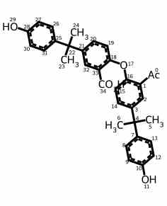 CC(=O)c1cc(C(C)(C)c2ccc(O)cc2)ccc1Oc1ccc(C(C)(C)c2ccc(O)cc2)cc1C(=O)O